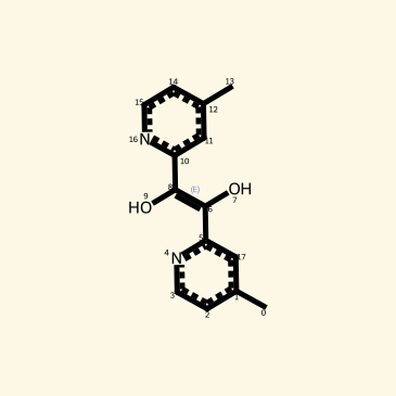 Cc1ccnc(/C(O)=C(\O)c2cc(C)ccn2)c1